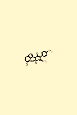 C=CN(C(=O)C(c1csc2ccc(Cl)cc12)P(=O)(O)O)c1ccc(N)cc1